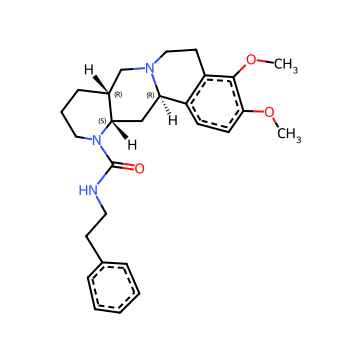 COc1ccc2c(c1OC)CCN1C[C@H]3CCCN(C(=O)NCCc4ccccc4)[C@H]3C[C@H]21